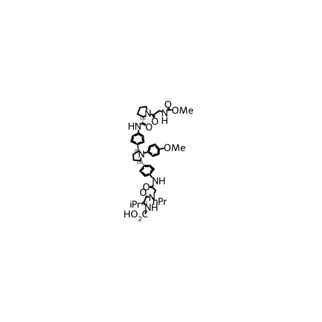 CCCN(CC(=O)Nc1ccc([C@@H]2CC[C@@H](c3ccc(NC(=O)[C@@H]4CCCN4C(=O)CNC(=O)OC)cc3)N2c2ccc(OC)cc2)cc1)C(=O)[C@@H](NC(=O)O)C(C)C